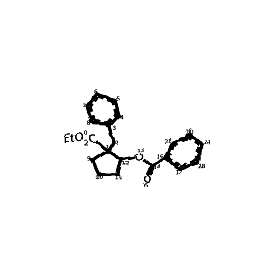 CCOC(=O)C1(Cc2ccccc2)CCCC1OC(=O)c1ccccc1